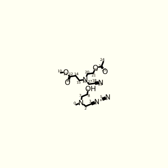 CN(CC#[N+]C#N)CCO.COC(=O)CCN(CC#N)CCOC(C)=O